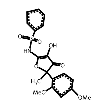 COc1ccc(C2(C)OC(NS(=O)(=O)c3ccccc3)=C(O)C2=O)c(OC)c1